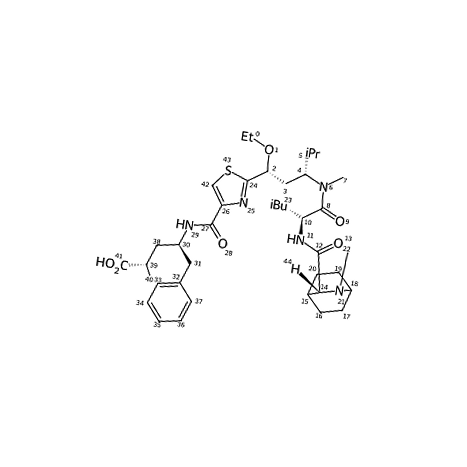 CCO[C@H](C[C@H](C(C)C)N(C)C(=O)[C@@H](NC(=O)[C@H]1C2CCC(CC2)N1C)[C@@H](C)CC)c1nc(C(=O)N[C@@H](Cc2ccccc2)C[C@H](C)C(=O)O)cs1